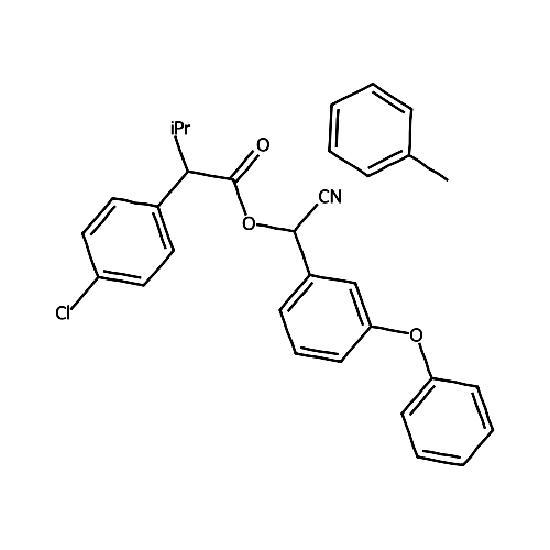 CC(C)C(C(=O)OC(C#N)c1cccc(Oc2ccccc2)c1)c1ccc(Cl)cc1.Cc1ccccc1